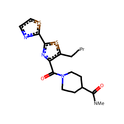 CNC(=O)C1CCN(C(=O)c2nc(-c3nccs3)sc2CC(C)C)CC1